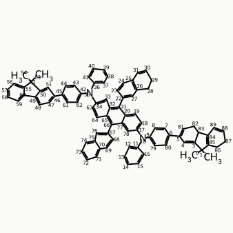 CC1(C)C2=CC(c3ccc(N(c4ccccc4)c4ccc5c(-c6ccc7c(c6)CCC=C7)c6cc(N(c7ccccc7)c7ccc(-c8ccc9c(c8)C(C)(C)c8ccccc8-9)cc7)ccc6c(-c6ccc7ccccc7c6)c5c4)cc3)=CCC2C2=C1CCC=C2